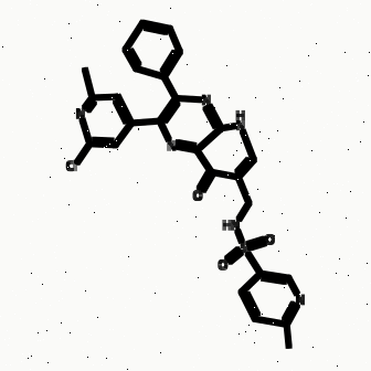 Cc1ccc(S(=O)(=O)NCc2c[nH]c3nc(-c4ccccc4)c(-c4cc(C)nc(Cl)c4)nc3c2=O)cn1